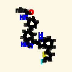 CCCCC(=O)Nc1cccc(-c2ccc3[nH]nc(-c4cc5c(-c6ccc(F)s6)cccc5[nH]4)c3c2)c1